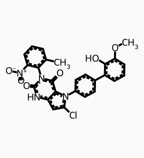 COc1cccc(-c2ccc(-n3c(Cl)cc4[nH]c(=O)n(-c5c(C)cccc5[N+](=O)[O-])c(=O)c43)cc2)c1O